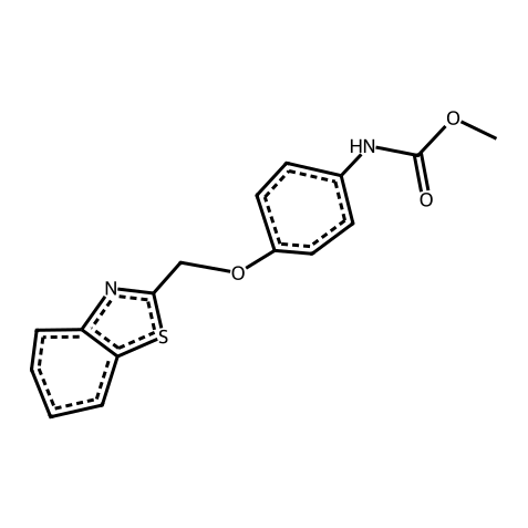 COC(=O)Nc1ccc(OCc2nc3ccccc3s2)cc1